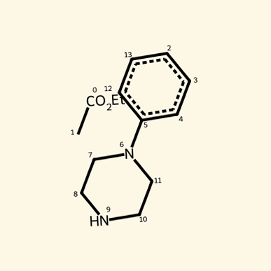 CCOC(C)=O.c1ccc(N2CCNCC2)cc1